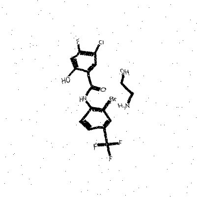 NCCO.O=C(Nc1ccc(C(F)(F)F)cc1Br)c1cc(Cl)c(F)cc1O